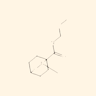 COCNC(=O)C12CCC(CC1)CN2C